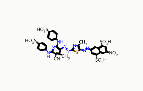 Cc1nc(N=Nc2c(Nc3ccc(S(=O)(=O)O)cc3)nc(Nc3ccc(S(=O)(=O)O)cc3)c(C#N)c2C)sc1/N=N/c1cc(S(=O)(=O)O)c2cc([N+](=O)[O-])cc(S(=O)(=O)O)c2c1